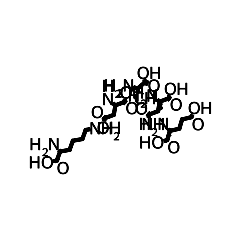 CC(N)C(=O)O.NC(=O)CC(N)C(=O)O.NC(CC(=O)O)C(=O)O.NC(CCC(=O)O)C(=O)O.NCCCCC(N)C(=O)O